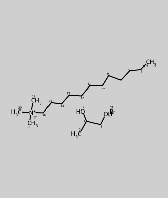 CC(O)CO.CCCCCCCCCCCC[N+](C)(C)C.[Br-]